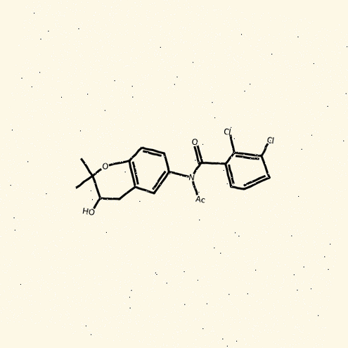 CC(=O)N(C(=O)c1cccc(Cl)c1Cl)c1ccc2c(c1)CC(O)C(C)(C)O2